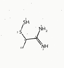 CC(SS)C(=N)N